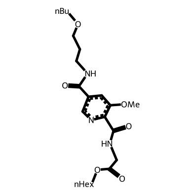 CCCCCCOC(=O)CNC(=O)c1ncc(C(=O)NCCCOCCCC)cc1OC